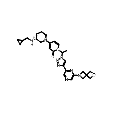 CC(n1cc(-c2cncc(N3CC4(COC4)C3)n2)nn1)n1ccc(N2CCC[C@@H](NCC3CC3)C2)cc1=O